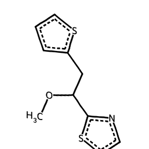 COC(Cc1cccs1)c1nccs1